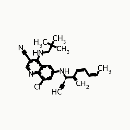 C#C[C@@H](Nc1cc(Cl)c2ncc(C#N)c(NCC(C)(C)C)c2c1)C(=C)/C=C\C=C/C